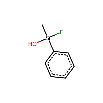 C[Si](O)(F)c1ccccc1